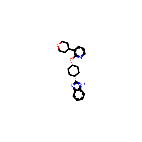 c1cnc(O[C@H]2CC[C@@H](c3nc4ccccc4[nH]3)CC2)c(C2CCOCC2)c1